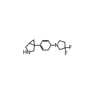 FC1(F)CCN(C2C=CC(C34CNCC3C4)=CC2)C1